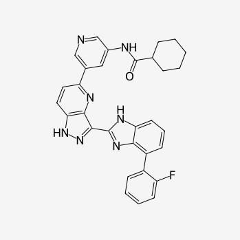 O=C(Nc1cncc(-c2ccc3[nH]nc(-c4nc5c(-c6ccccc6F)cccc5[nH]4)c3n2)c1)C1CCCCC1